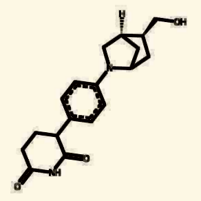 O=C1CCC(c2ccc(N3C[C@@H]4CC3C[C@@H]4CO)cc2)C(=O)N1